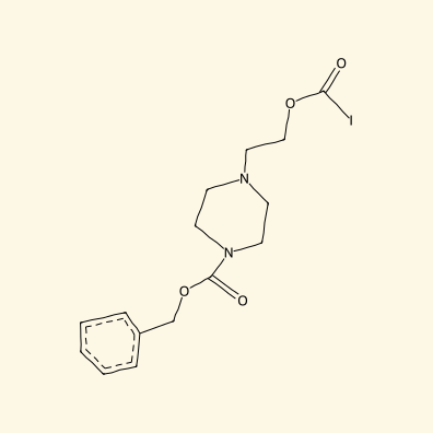 O=C(I)OCCN1CCN(C(=O)OCc2ccccc2)CC1